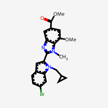 COC(=O)c1cc(OC)c2c(c1)nc(-c1cc3ccc(Br)cc3n1CC1CC1)n2C